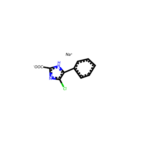 O=C([O-])c1nc(Cl)c(-c2ccccc2)[nH]1.[Na+]